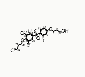 CC(C)(c1ccc(OCCCO)cc1)c1cc(Cl)c(OCCCCl)c(Cl)c1